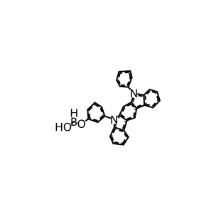 OBOc1cccc(-n2c3ccccc3c3cc4c5ccccc5n(-c5ccccc5)c4cc32)c1